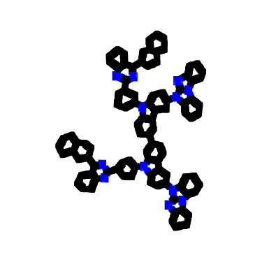 c1cc(-c2nc(-c3ccc4ccccc4c3)c3ccccc3n2)cc(-n2c3ccc(-c4ccc5c6cc(-n7c8ccccc8n8c9ccccc9nc78)ccc6n(-c6ccc(-c7nc(-c8ccc9ccccc9c8)c8ccccc8n7)cc6)c5c4)cc3c3cc(-n4c5ccccc5n5c6ccccc6nc45)ccc32)c1